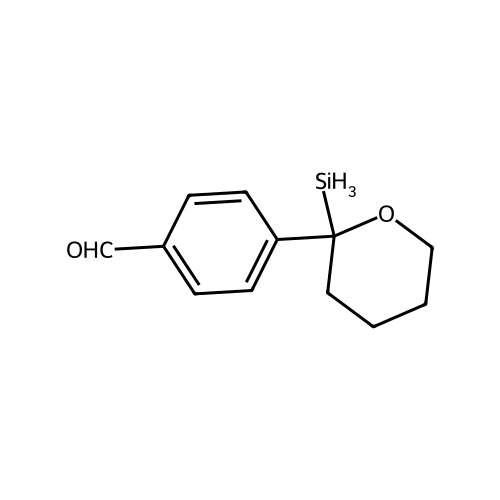 O=Cc1ccc(C2([SiH3])CCCCO2)cc1